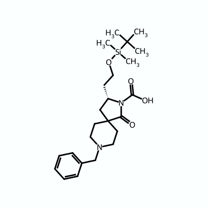 CC(C)(C)[Si](C)(C)OCC[C@H]1CC2(CCN(Cc3ccccc3)CC2)C(=O)N1C(=O)O